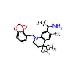 CCc1cc2c(cc1C(C)N)N(Cc1cccc3c1OCO3)CCC2(C)C